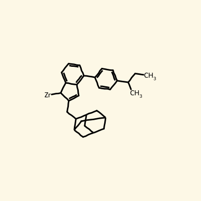 CCC(C)c1ccc(-c2cccc3c2C=C(CC2C4CC5CC(C4)CC2C5)[CH]3[Zr])cc1